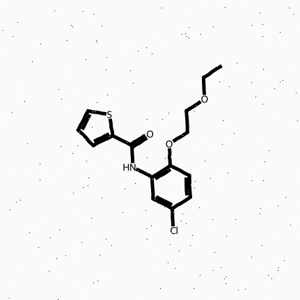 CCOCCOc1ccc(Cl)cc1NC(=O)c1cccs1